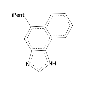 CCCC(C)c1cc2nc[nH]c2c2ccccc12